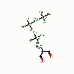 CN(C=O)C=O.F[B-](F)(F)F.F[B-](F)(F)F.F[B-](F)(F)F